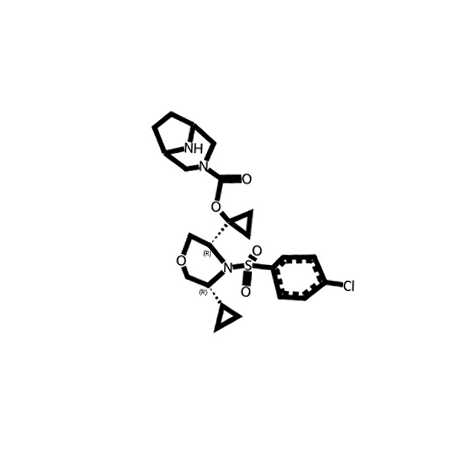 O=C(OC1([C@H]2COC[C@@H](C3CC3)N2S(=O)(=O)c2ccc(Cl)cc2)CC1)N1CC2CCC(C1)N2